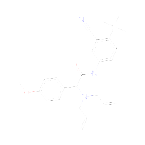 C=CCN(CC=C)C(C(=O)Nc1ccc([Si](C)(C)C)c(C#N)c1)c1ccc(OC)cc1